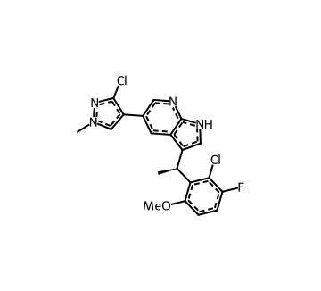 COc1ccc(F)c(Cl)c1[C@@H](C)c1c[nH]c2ncc(-c3cn(C)nc3Cl)cc12